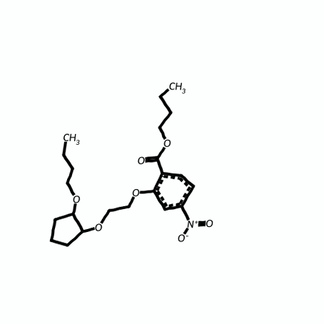 CCCCOC(=O)c1ccc([N+](=O)[O-])cc1OCCOC1CCCC1OCCCC